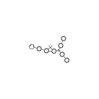 CC1(C)c2cc(-c3ccc(C4=CC=CCC4)cc3)ccc2-c2ccc(N(c3ccc(-c4ccccc4)cc3)c3ccc(-c4ccccc4)cc3)cc21